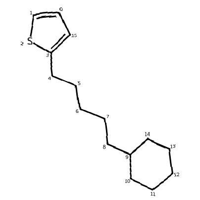 c1csc(CCCCCC2CCCCC2)c1